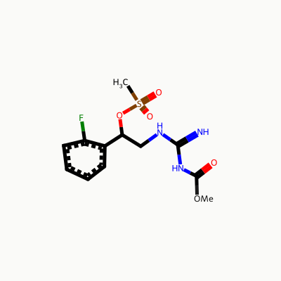 COC(=O)NC(=N)NCC(OS(C)(=O)=O)c1ccccc1F